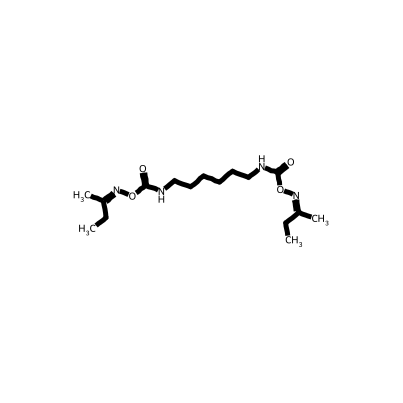 CC/C(C)=N\OC(=O)NCCCCCCNC(=O)O/N=C(/C)CC